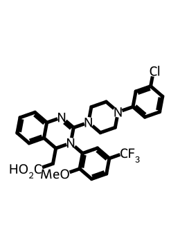 COc1ccc(C(F)(F)F)cc1N1C(N2CCN(c3cccc(Cl)c3)CC2)=Nc2ccccc2C1CC(=O)O